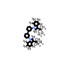 [2H]c1c([2H])c([2H])c2c(c1[2H])c(C(C)(C)C)c([2H])n2-c1cccc(-c2cccc(-n3c([2H])c(C(C)(C)C)c4c([2H])c([2H])c([2H])c([2H])c43)c2)c1